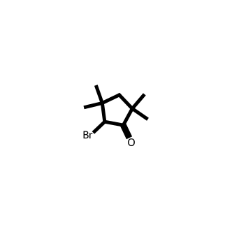 CC1(C)CC(C)(C)C(Br)C1=O